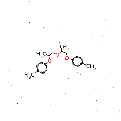 Cc1ccc(OCC(C)OCC(C)Oc2ccc(C)cc2)cc1